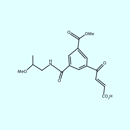 COC(=O)c1cc(C(=O)/C=C/C(=O)O)cc(C(=O)NCC(C)OC)c1